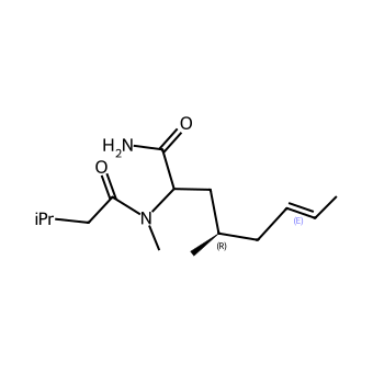 C/C=C/C[C@@H](C)CC(C(N)=O)N(C)C(=O)CC(C)C